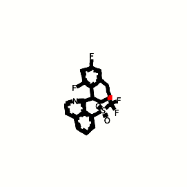 O=S(=O)(c1cccc2ccnc(C3CCCc4cc(F)cc(F)c43)c12)C(F)(F)F